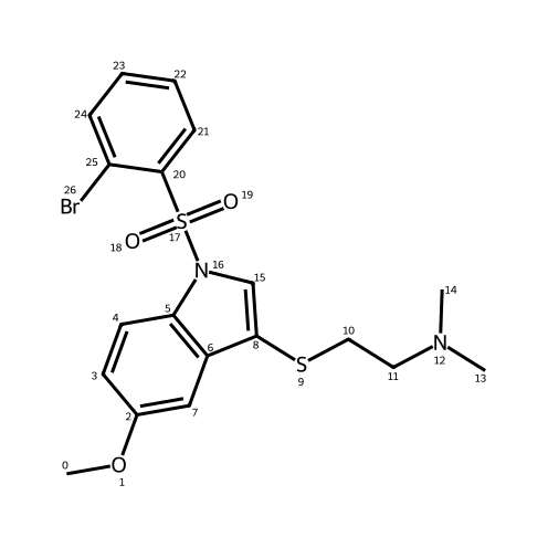 COc1ccc2c(c1)c(SCCN(C)C)cn2S(=O)(=O)c1ccccc1Br